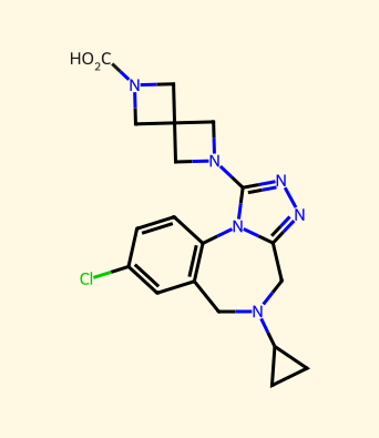 O=C(O)N1CC2(C1)CN(c1nnc3n1-c1ccc(Cl)cc1CN(C1CC1)C3)C2